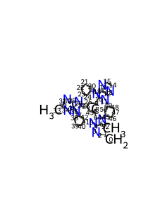 C=C/C=N\c1nc(-c2cc(-c3nc4nccnc4n3-c3ccccc3)cc(-c3nc4ncc(C)nc4n3-c3ccccc3)c2)n(-c2ccccc2)c1C